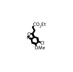 CCOC(=O)CCc1onc2cc(OC)c(Cl)cc12